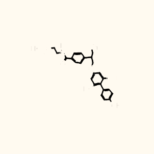 Cc1cc(OCC(CC(C)C)c2ccc(C(=O)NCCC(=O)O)cc2)cc(C)c1-c1ccc(C(F)(F)F)cc1